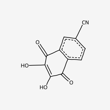 N#Cc1ccc2c(c1)C(=O)C(O)=C(O)C2=O